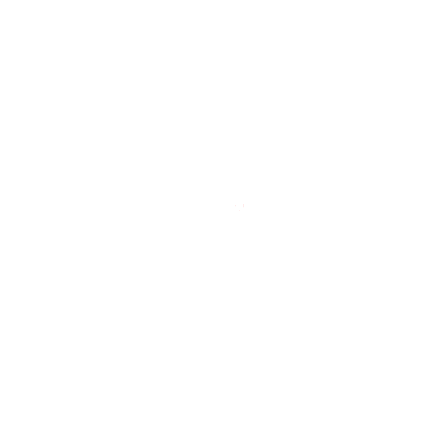 C=CC=CCOC(CC)=C(C)[O]